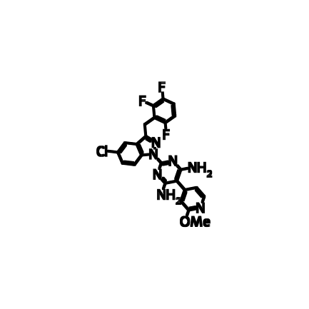 COc1cc(-c2c(N)nc(-n3nc(Cc4c(F)ccc(F)c4F)c4cc(Cl)ccc43)nc2N)ccn1